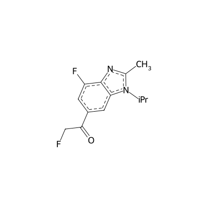 Cc1nc2c(F)cc(C(=O)CF)cc2n1C(C)C